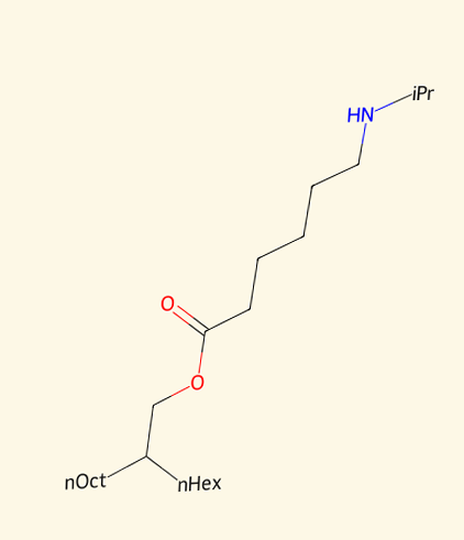 CCCCCCCCC(CCCCCC)COC(=O)CCCCCNC(C)C